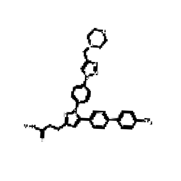 CNC(=O)CCc1cc(-c2ccc(-c3ccc(C(F)(F)F)cc3)cc2)n(-c2ccc(-n3cc(CN4CCOCC4)nn3)cc2)n1